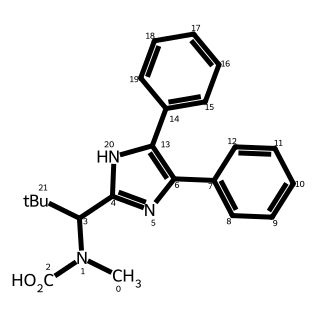 CN(C(=O)O)C(c1nc(-c2ccccc2)c(-c2ccccc2)[nH]1)C(C)(C)C